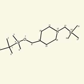 CC(C)(C)[Si](C)(C)OCC1CCN(C[Si](C)(C)C)CC1